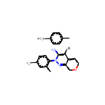 Cc1cc([N+](=O)[O-])ccc1N1N=C2COCC=C2C(C#N)=C1N.Cc1ccc(S(=O)(=O)O)cc1